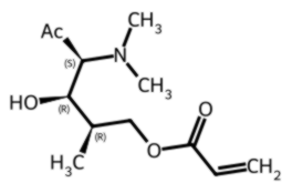 C=CC(=O)OC[C@@H](C)[C@@H](O)[C@@H](C(C)=O)N(C)C